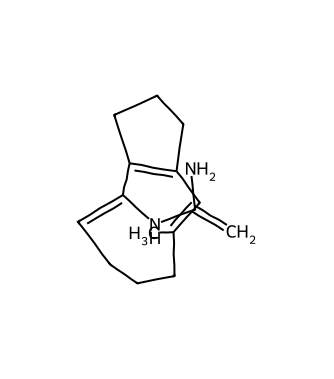 C=C(N)N/C1=C\CCC/C(C)=C/C2=C1CCC2